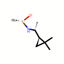 C[C@@H](N[S@@+]([O-])C(C)(C)C)[C@@H]1CC1(C)C